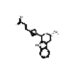 C[C@@H]1Cc2c([nH]c3ccccc23)C(C23CC(/C=C/C(=O)O)(C2)C3)N1